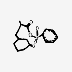 CC(CC1CCCC(=O)C1)C(=O)OS(=O)(=O)c1ccccc1